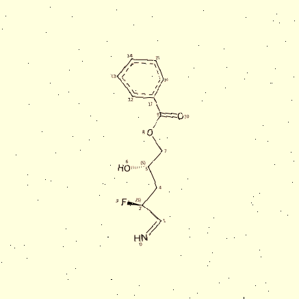 N=C[C@@H](F)C[C@H](O)COC(=O)c1ccccc1